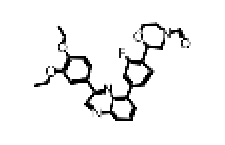 CCOc1ccc(-c2cnc3cccc(-c4ccc(C5CN(C=O)CCO5)c(F)c4)c3n2)cc1OCC